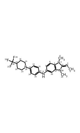 CN=c1n(C)c2ccc(Nc3ccc(N4CCC(C(F)(F)F)CC4)cc3)cc2n1C